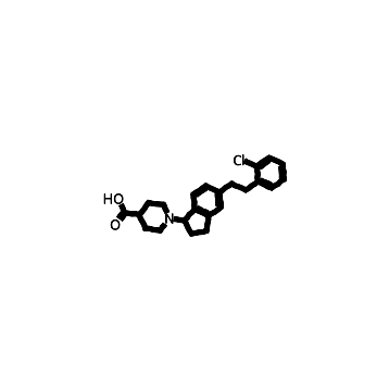 O=C(O)C1CCN(C2CCc3cc(CCc4ccccc4Cl)ccc32)CC1